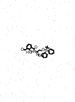 CC(C)(C)[Si](OCC/C(=N\O)NC(=O)c1cccc(C=O)c1O)(c1ccccc1)c1ccccc1